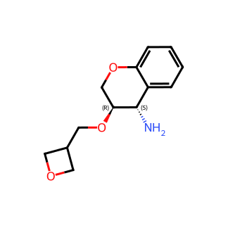 N[C@H]1c2ccccc2OC[C@@H]1OCC1COC1